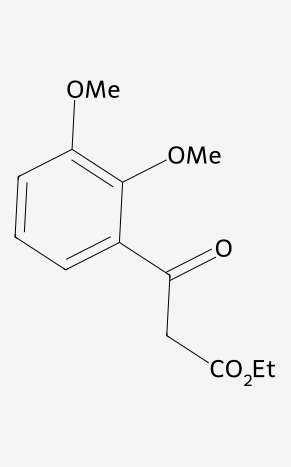 CCOC(=O)CC(=O)c1cccc(OC)c1OC